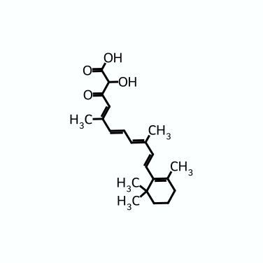 CC(C=CC1=C(C)CCCC1(C)C)=CC=CC(C)=CC(=O)C(O)C(=O)O